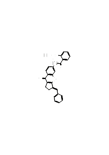 O=C(O)c1ccccc1C(=O)Nc1ccc2c(=O)c3c(oc2c1)C(=Cc1ccccc1)CC3